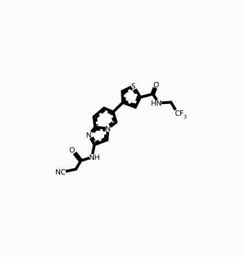 N#CCC(=O)Nc1cn2cc(-c3csc(C(=O)NCC(F)(F)F)c3)ccc2n1